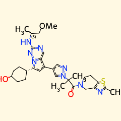 COC[C@H](C)Nc1ncc2c(-c3cnn(C(C)(C)C(=O)N4CCc5sc(C)nc5C4)c3)cc([C@H]3CC[C@H](O)CC3)n2n1